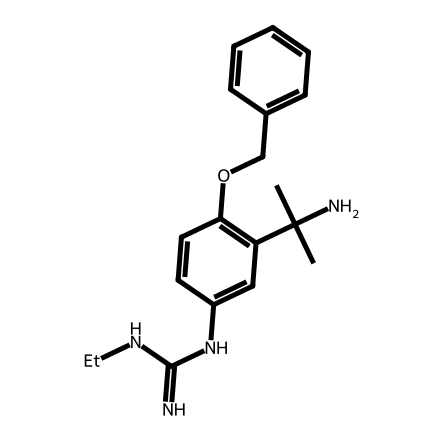 CCNC(=N)Nc1ccc(OCc2ccccc2)c(C(C)(C)N)c1